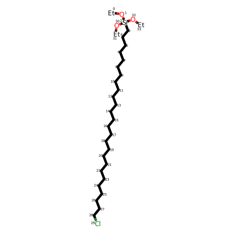 CCO[Si](CCCCCCCCCCCCCCCCCCCCCCCCCCCl)(OCC)OCC